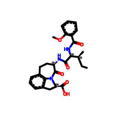 CC[C@H](C)[C@H](NC(=O)c1ccccc1OC)C(=O)N[C@H]1CCc2cccc3c2N(C1=O)[C@H](C(=O)O)C3